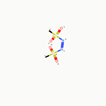 CS(=O)(=O)/N=N\S(C)(=O)=O